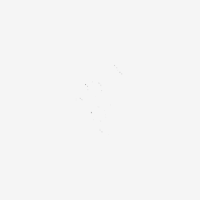 Nc1ccc(-c2cc(-c3cn[nH]c3)cnc2N)c(F)c1